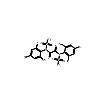 O=C(C(=O)N(c1c(F)cc(Cl)cc1Cl)S(=O)(=O)C(F)(F)F)N(c1c(F)cc(Cl)cc1Cl)S(=O)(=O)C(F)(F)F